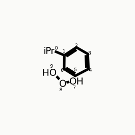 CC(C)c1ccccc1.OOO